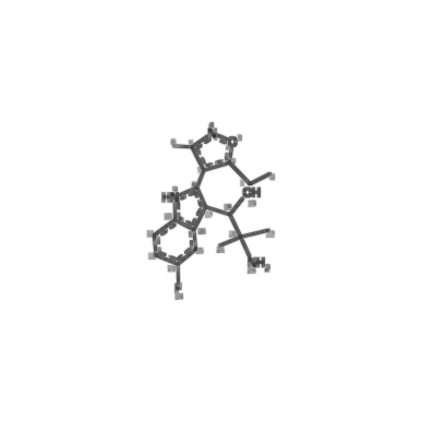 CCc1onc(C)c1-c1[nH]c2ccc(F)cc2c1C(O)C(C)(C)N